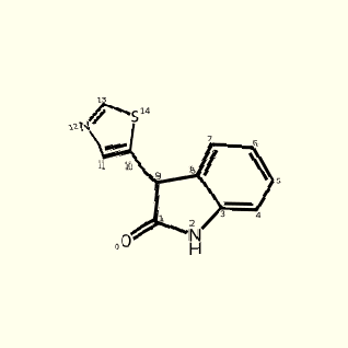 O=C1Nc2ccccc2C1c1cncs1